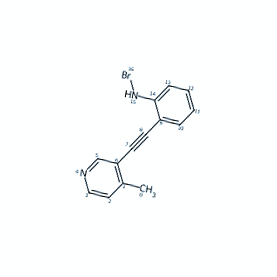 Cc1ccncc1C#Cc1ccccc1NBr